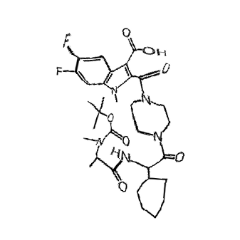 CC(C(=O)NC(C(=O)N1CCN(C(=O)c2c(C(=O)O)c3cc(F)c(F)cc3n2C)CC1)C1CCCCC1)N(C)C(=O)OC(C)(C)C